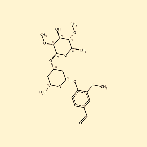 COc1cc(C=O)ccc1O[C@H]1C[C@@H](O[C@@H]2O[C@H](C)[C@@H](OC)[C@H](O)[C@H]2OC)C[C@@H](C)O1